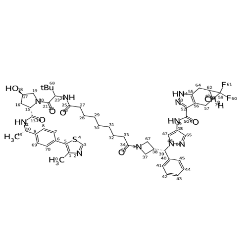 Cc1ncsc1-c1ccc([C@H](C)NC(=O)[C@@H]2C[C@@H](O)CN2C(=O)C(NC(=O)CCCCCCCC(=O)N2CC([C@@H](c3ccccc3)n3cc(NC(=O)c4n[nH]c5c4C[C@@H]4C(F)(F)[C@]4(C)C5)cn3)C2)C(C)(C)C)cc1